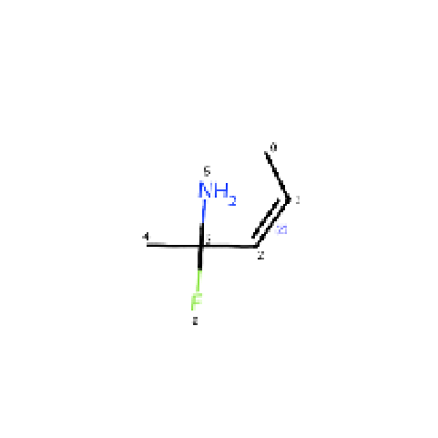 C/C=C\C(C)(N)F